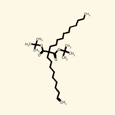 C=CCCCCCCCCC(CCCCCCCCCCC)(C(=O)OC(C)(C)C)C(=O)OC(C)(C)C